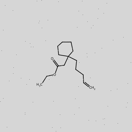 C=CCCCC1(CC(=O)OCC)CCCCC1